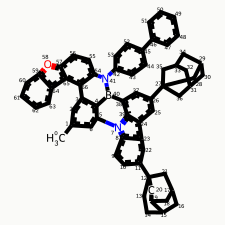 Cc1cc2c3c(c1)-n1c4ccc(C56CCC7CC(CC7C5)C6)cc4c4cc(C56CC7CC(CC(C7)C5)C6)cc(c41)B3N(c1ccc(-c3ccccc3)cc1)c1ccc3oc4ccccc4c3c1-2